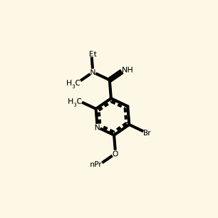 CCCOc1nc(C)c(C(=N)N(C)CC)cc1Br